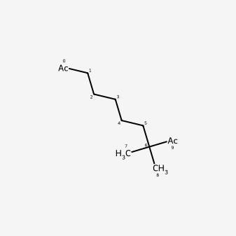 CC(=O)CCCCCC(C)(C)C(C)=O